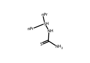 CCC[SH](CCC)NC(N)=S